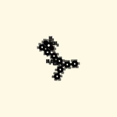 CC1(C)c2cc(-c3ccc4c(c3)C3(c5ccccc5-4)c4ccccc4C(C)(C)c4ccccc43)ccc2-c2ccc(N(c3ccc(-c4ccccc4)cc3)c3ccc(-c4ccccc4)cc3)cc21